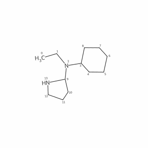 CCN(C1CCCCC1)C1CCCN1